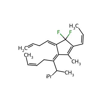 C=CC/C=C1\C(=C(/C/C=C\C)C(C)C(C)C)C(C)=C(/C=C\C)C1(F)F